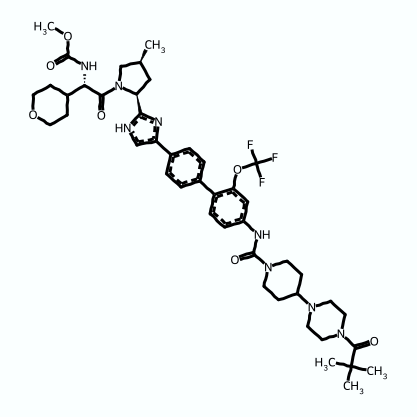 COC(=O)N[C@H](C(=O)N1C[C@@H](C)C[C@H]1c1nc(-c2ccc(-c3ccc(NC(=O)N4CCC(N5CCN(C(=O)C(C)(C)C)CC5)CC4)cc3OC(F)(F)F)cc2)c[nH]1)C1CCOCC1